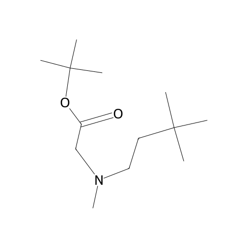 CN(CCC(C)(C)C)CC(=O)OC(C)(C)C